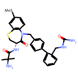 CSc1ccc2c(c1)SC[C@@H](NC(=O)C(C)(C)N)C(=O)N2Cc1ccc(-c2ccccc2CNC(N)=O)cc1